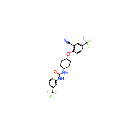 N#Cc1cc(C(F)(F)F)ccc1O[C@H]1CC[C@H](NC(=O)Nc2cccc(C(F)(F)F)c2)CC1